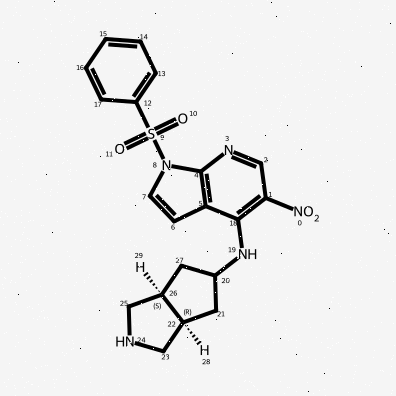 O=[N+]([O-])c1cnc2c(ccn2S(=O)(=O)c2ccccc2)c1NC1C[C@H]2CNC[C@H]2C1